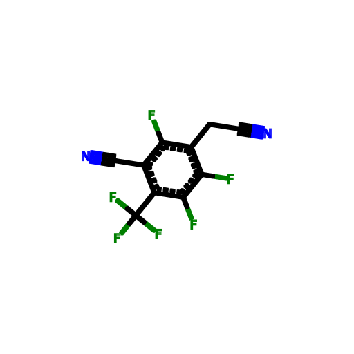 N#CCc1c(F)c(F)c(C(F)(F)F)c(C#N)c1F